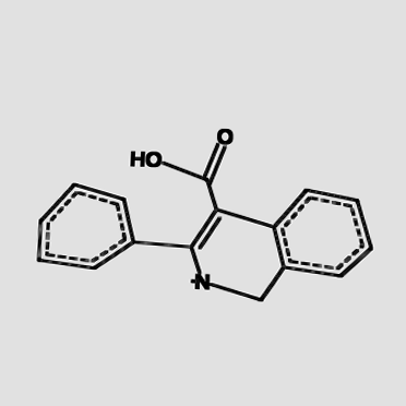 O=C(O)C1=C(c2ccccc2)[N]Cc2ccccc21